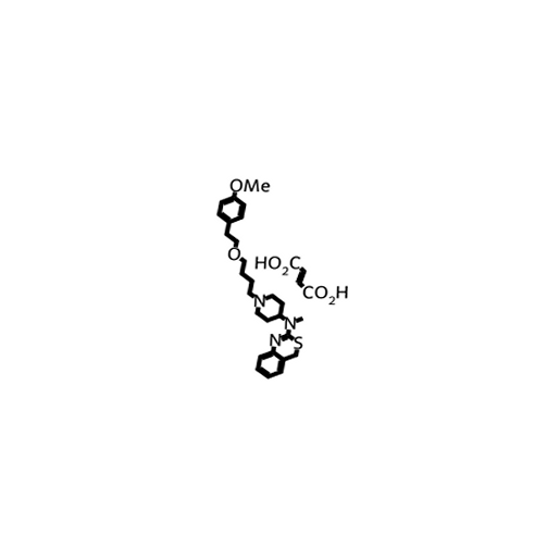 COc1ccc(CCOCCCCN2CCC(N(C)C3=Nc4ccccc4CS3)CC2)cc1.O=C(O)/C=C/C(=O)O